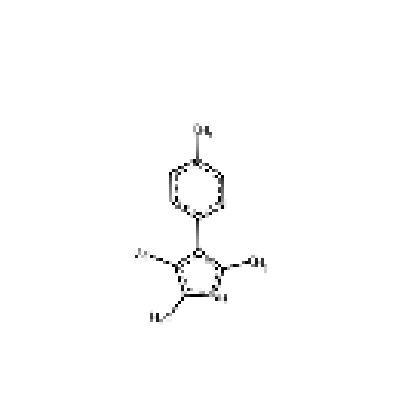 CC(=O)c1c(C)[nH]c(C)c1-c1ccc(C)cc1